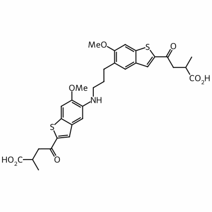 COc1cc2sc(C(=O)CC(C)C(=O)O)cc2cc1CCCNc1cc2cc(C(=O)CC(C)C(=O)O)sc2cc1OC